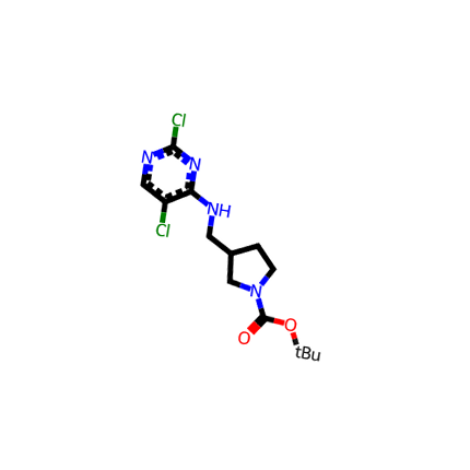 CC(C)(C)OC(=O)N1CCC(CNc2nc(Cl)ncc2Cl)C1